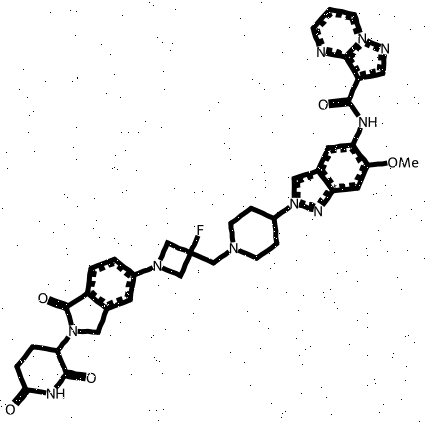 COc1cc2nn(C3CCN(CC4(F)CN(c5ccc6c(c5)CN(C5CCC(=O)NC5=O)C6=O)C4)CC3)cc2cc1NC(=O)c1cnn2cccnc12